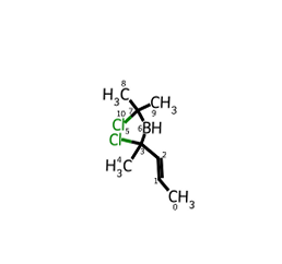 CC=CC(C)(Cl)BC(C)(C)Cl